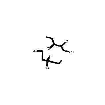 CCC(Cl)(Cl)CCO.CCC(Cl)C(Cl)CO